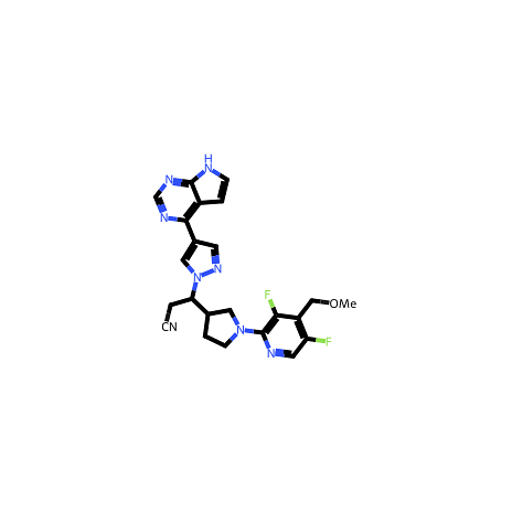 COCc1c(F)cnc(N2CCC(C(CC#N)n3cc(-c4ncnc5[nH]ccc45)cn3)C2)c1F